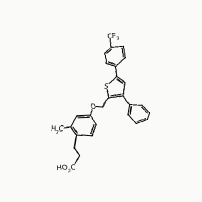 Cc1cc(OCc2sc(-c3ccc(C(F)(F)F)cc3)cc2-c2ccccc2)ccc1CCC(=O)O